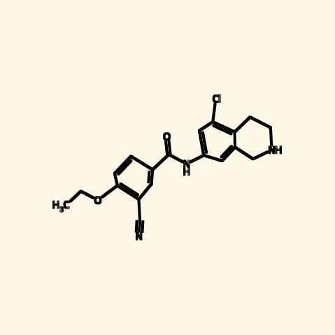 CCOc1ccc(C(=O)Nc2cc(Cl)c3c(c2)CNCC3)cc1C#N